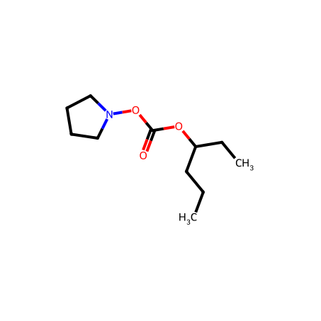 CCCC(CC)OC(=O)ON1CCCC1